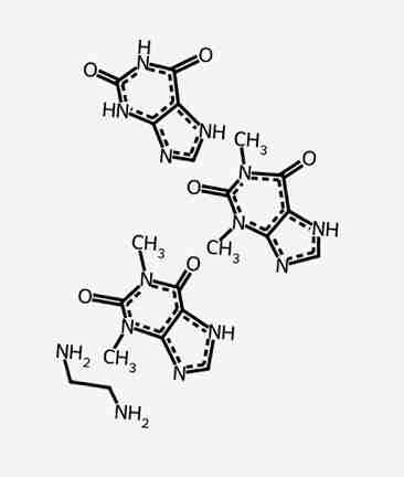 Cn1c(=O)c2[nH]cnc2n(C)c1=O.Cn1c(=O)c2[nH]cnc2n(C)c1=O.NCCN.O=c1[nH]c(=O)c2[nH]cnc2[nH]1